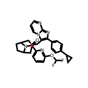 O=C(c1cccc(OC(F)F)n1)N1C2CCC1CN(Cc1c(-c3ccc(C4CC4)cc3)nc3ncccn13)C2